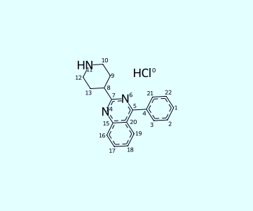 Cl.c1ccc(-c2nc(C3CCNCC3)nc3ccccc23)cc1